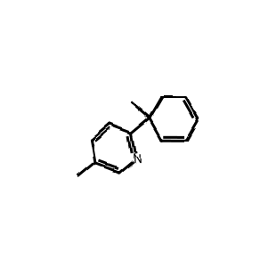 Cc1ccc(C2(C)C=CC=CC2)nc1